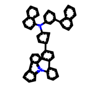 c1cc(-c2cccc3ccccc23)cc(N(c2ccc(-c3ccc(-c4ccccc4-n4c5ccccc5c5ccccc54)cc3)cc2)c2cccc3ccccc23)c1